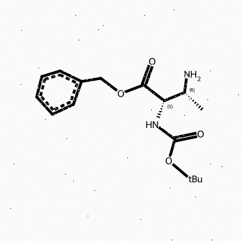 C[C@@H](N)[C@H](NC(=O)OC(C)(C)C)C(=O)OCc1ccccc1